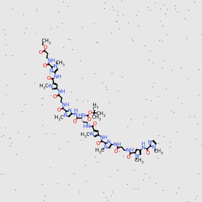 CCOC(=O)CCNC(=O)c1nc(NC(=O)c2cc(NC(=O)CCNC(=O)c3nc(NC(=O)[C@@H](CCNC(=O)c4cc(NC(=O)c5nc(NC(=O)CCNC(=O)c6cc(NC(=O)c7nccn7C)cn6C)cn5C)cn4C)NC(=O)OC(C)(C)C)cn3C)cn2C)cn1C